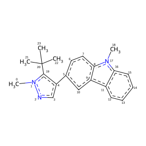 Cn1ncc(-c2ccc3c(c2)c2ccccc2n3C)c1C(C)(C)C